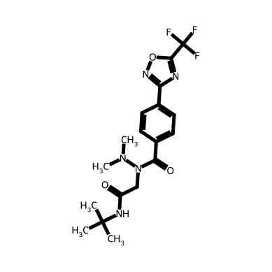 CN(C)N(CC(=O)NC(C)(C)C)C(=O)c1ccc(-c2noc(C(F)(F)F)n2)cc1